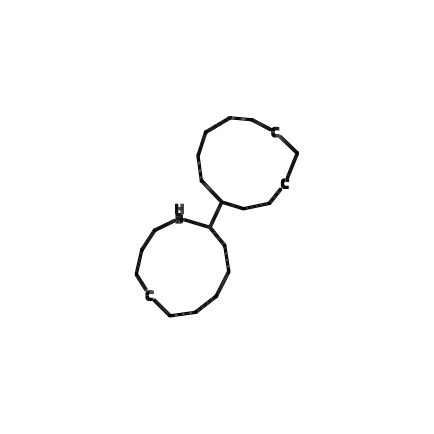 B1CCCCCCCCCC1C1CCCCCCCCCC1